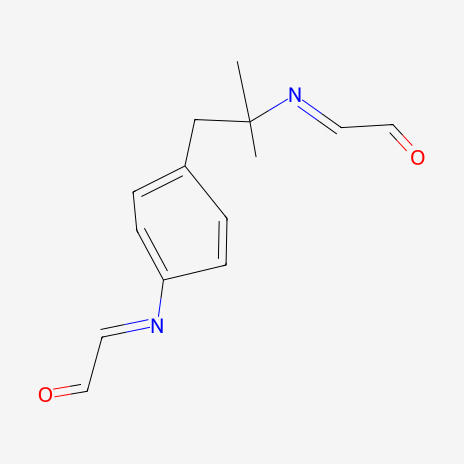 CC(C)(Cc1ccc(N=CC=O)cc1)N=CC=O